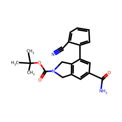 CC(C)(C)OC(=O)N1Cc2cc(C(N)=O)cc(-c3ccccc3C#N)c2C1